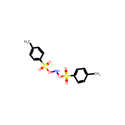 Cc1ccc(S(=O)(=O)ONOS(=O)(=O)c2ccc(C)cc2)cc1